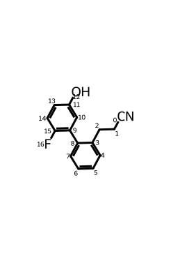 N#CCCc1ccccc1-c1cc(O)ccc1F